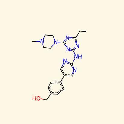 CCc1nc(Nc2ncc(-c3ccc(CO)cc3)cn2)nc(N2CCN(C)CC2)n1